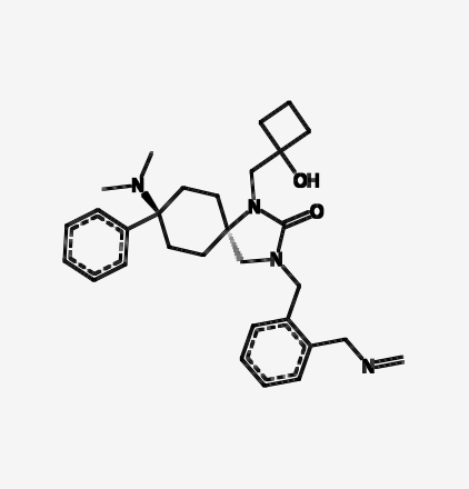 C=NCc1ccccc1CN1C[C@]2(CC[C@](c3ccccc3)(N(C)C)CC2)N(CC2(O)CCC2)C1=O